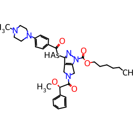 CCCCCCOC(=O)n1nc([AsH]C(=O)c2ccc(N3CCN(C)CC3)cc2)c2c1CN(C(=O)[C@H](OC)c1ccccc1)C2